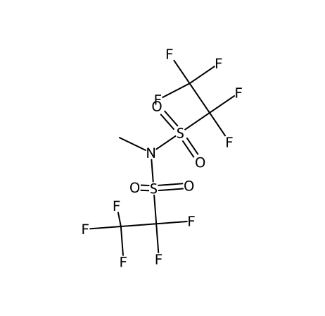 CN(S(=O)(=O)C(F)(F)C(F)(F)F)S(=O)(=O)C(F)(F)C(F)(F)F